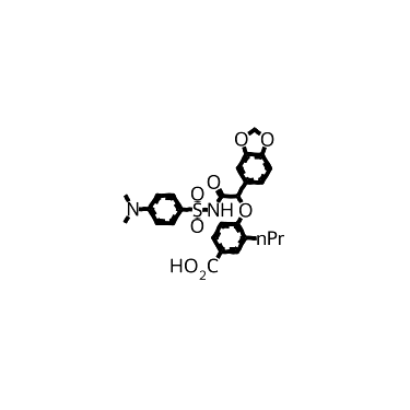 CCCc1cc(C(=O)O)ccc1OC(C(=O)NS(=O)(=O)c1ccc(N(C)C)cc1)c1ccc2c(c1)OCO2